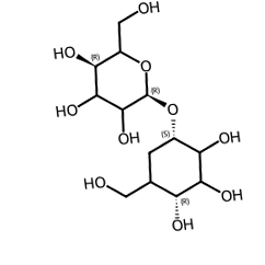 OCC1C[C@H](O[C@@H]2OC(CO)[C@H](O)C(O)C2O)C(O)C(O)[C@@H]1O